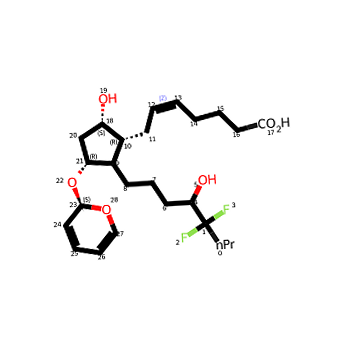 CCCC(F)(F)C(O)CCCC1[C@@H](C/C=C\CCCC(=O)O)[C@@H](O)C[C@H]1O[C@@H]1C=CC=CO1